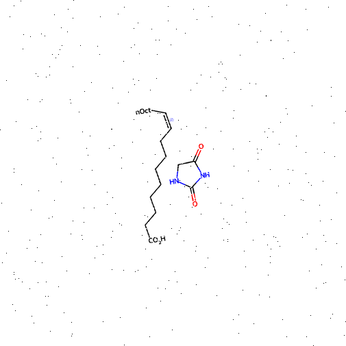 CCCCCCCC/C=C\CCCCCCCC(=O)O.O=C1CNC(=O)N1